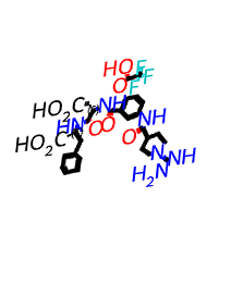 N=C(N)N1CCC(C(=O)Nc2cccc(C(=O)N[C@@H](CC(=O)O)C(=O)N[C@@H](Cc3ccccc3)C(=O)O)c2)CC1.O=C(O)C(F)(F)F